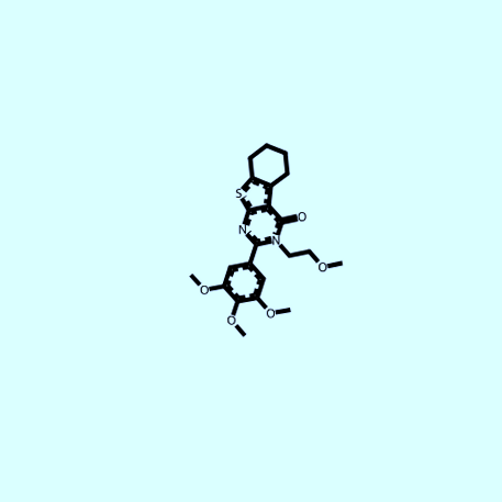 COCCn1c(-c2cc(OC)c(OC)c(OC)c2)nc2sc3c(c2c1=O)CCCC3